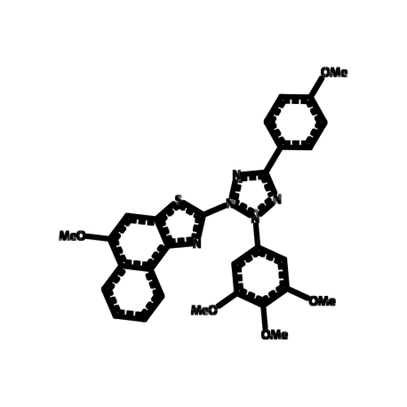 COc1ccc(-c2nn(-c3cc(OC)c(OC)c(OC)c3)[n+](-c3nc4c(cc(OC)c5ccccc54)s3)n2)cc1